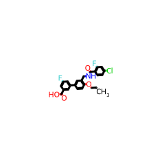 CCCOc1ccc(-c2cc(F)cc(C(=O)O)c2)cc1CNC(=O)c1ccc(Cl)cc1F